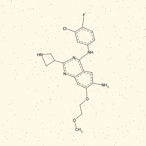 COCCOc1cc2nc(C3CNC3)nc(Nc3ccc(F)c(Cl)c3)c2cc1N